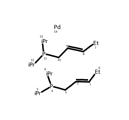 CCC=CCP(C(C)C)C(C)C.CCC=CCP(C(C)C)C(C)C.[Pd]